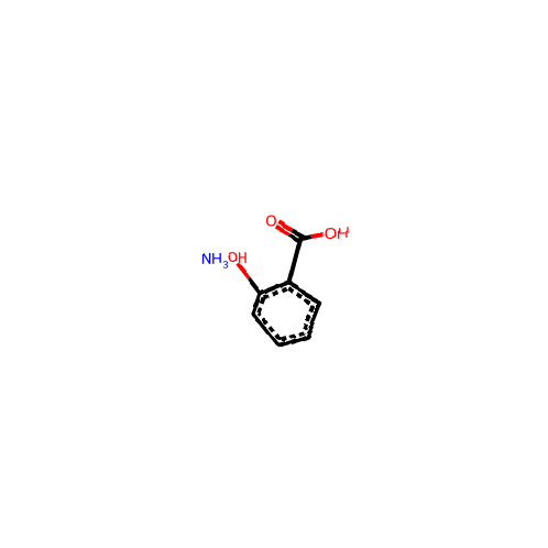 N.O=C(O)c1ccccc1O